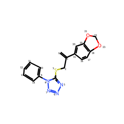 C=C(CSc1nnnn1-c1ccccc1)c1ccc2c(c1)OCO2